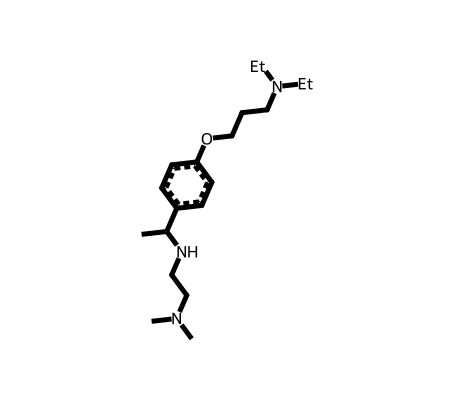 CCN(CC)CCCOc1ccc(C(C)NCCN(C)C)cc1